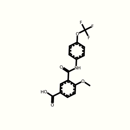 COc1ccc(C(=O)O)cc1C(=O)Nc1ccc(OC(F)(F)F)cc1